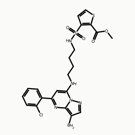 Bc1cnn2c(NCCCCNS(=O)(=O)c3ccsc3C(=O)OC)cc(-c3ccccc3Cl)nc12